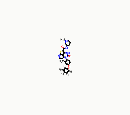 [2H]c1c([2H])c([2H])c(Oc2ccc(N3C(=O)Nc4c(C(=O)N[C@@H]5CCCN(C)C5)sc5nccc3c45)c(C)c2)c([2H])c1[2H]